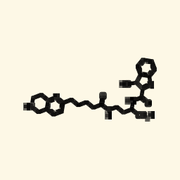 O=C(CCCCc1ccc2c(n1)CCNC2)NCCC(NC(=O)C1=Nc2ccccc2C1O)C(=O)O